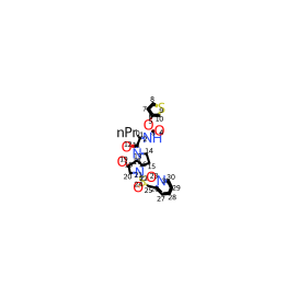 CCCC(NC(=O)Oc1ccsc1)C(=O)N1CCC2C1C(=O)CN2S(=O)(=O)Cc1ccccn1